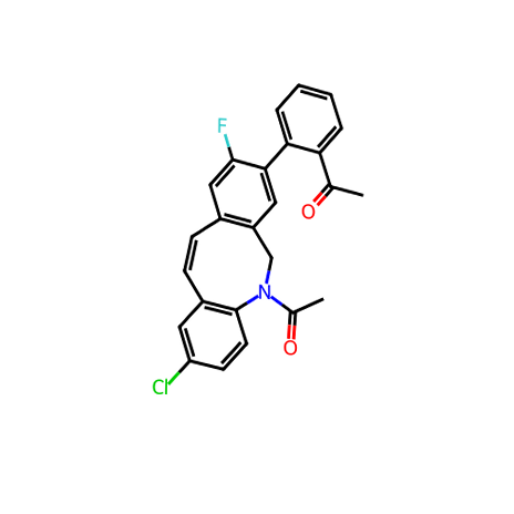 CC(=O)c1ccccc1-c1cc2c(cc1F)C=Cc1cc(Cl)ccc1N(C(C)=O)C2